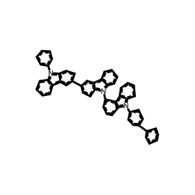 c1ccc(-c2ccc(-n3c4ccccc4c4c(-n5c6ccccc6c6cc(-c7ccc8c(c7)c7ccccc7n8-c7ccccc7)ccc65)cccc43)cc2)cc1